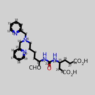 O=CC(CCCCN(Cc1ccccn1)Cc1ccccn1)NC(=O)NC(CCC(=O)O)CC(=O)O